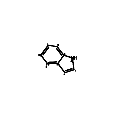 [c]1ccc2[nH]ccc2n1